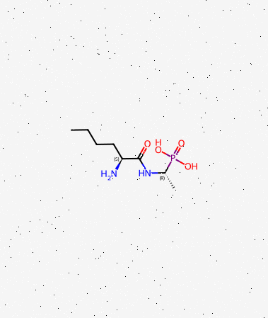 CCCC[C@H](N)C(=O)N[C@@H](C)P(=O)(O)O